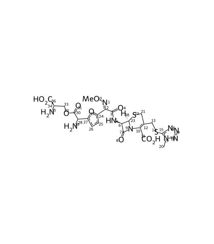 CO/N=C(/C(=O)N[C@@H]1C(=O)N2C(C(=O)O)=C(CSc3nnnn3C)CS[C@H]12)c1ccc(C(N)C(=O)OC[C@@H](N)C(=O)O)o1